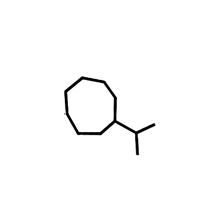 CC(C)C1CC[CH]CCCC1